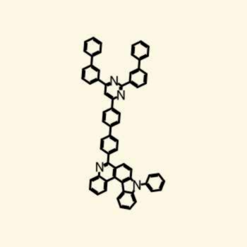 c1ccc(-c2cccc(-c3cc(-c4ccc(-c5ccc(-c6nc7ccccc7c7c6ccc6c7c7ccccc7n6-c6ccccc6)cc5)cc4)nc(-c4cccc(-c5ccccc5)c4)n3)c2)cc1